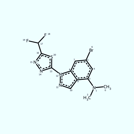 CN(C)c1cc(Br)cc2c1cnn2-c1nnc(C(F)F)s1